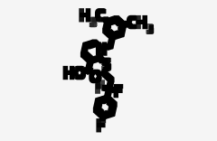 Cc1cc(C)cc(CN2C=CC=C(C(=O)O)C2SCCC(F)(F)c2ccc(F)cc2)c1